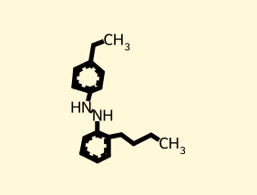 CCCCc1ccccc1NNc1ccc(CC)cc1